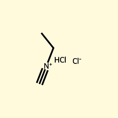 C#[N+]CC.Cl.[Cl-]